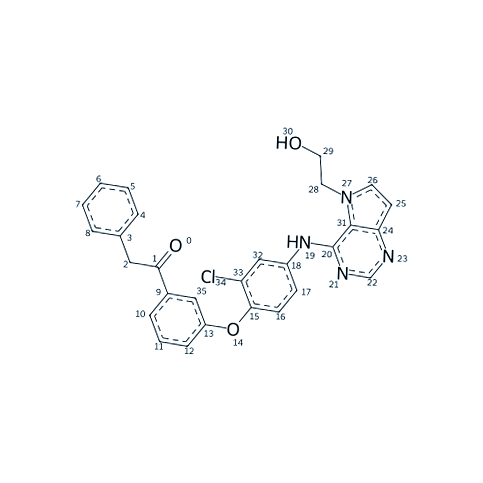 O=C(Cc1ccccc1)c1cccc(Oc2ccc(Nc3ncnc4ccn(CCO)c34)cc2Cl)c1